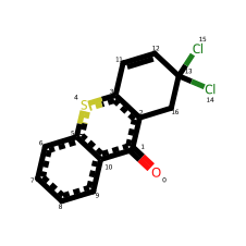 O=c1c2c(sc3ccccc13)C=CC(Cl)(Cl)C2